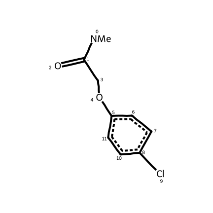 CNC(=O)COc1ccc(Cl)cc1